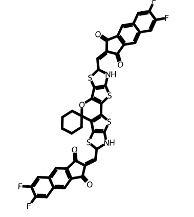 O=C1C(=CC2Nc3sc4c(c3S2)OC2(CCCCC2)c2c-4sc3c2SC(C=C2C(=O)c4cc5cc(F)c(F)cc5cc4C2=O)N3)C(=O)c2cc3cc(F)c(F)cc3cc21